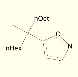 CCCCCCCCC(C)(CCCCCC)c1ccno1